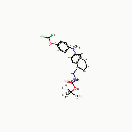 CN(c1ccc(OC(F)F)cc1)c1ccc2c(c1)CCC[C@H]2CNC(=O)OC(C)(C)C